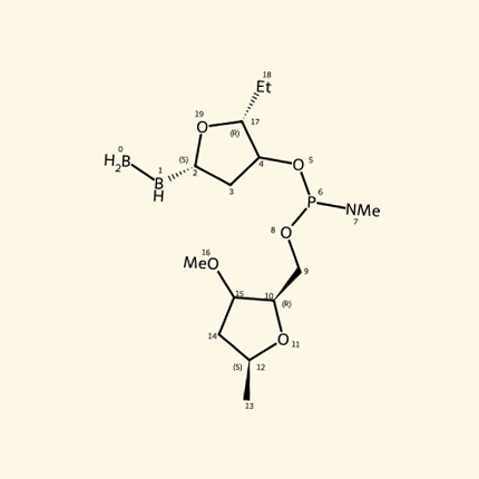 BB[C@H]1CC(OP(NC)OC[C@H]2O[C@@H](C)CC2OC)[C@@H](CC)O1